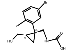 O=C(O)NC[C@@]1(c2cc(Br)ccc2F)C[C@H]1CO